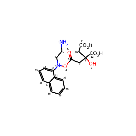 NCCN(OC(=O)CC(O)(CC(=O)O)C(=O)O)c1cccc2ccccc12